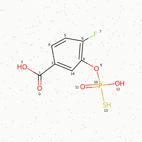 O=C(O)c1ccc(F)c(OP(=O)(O)S)c1